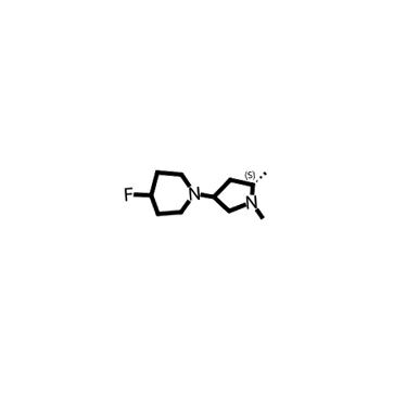 C[C@H]1CC(N2CCC(F)CC2)CN1C